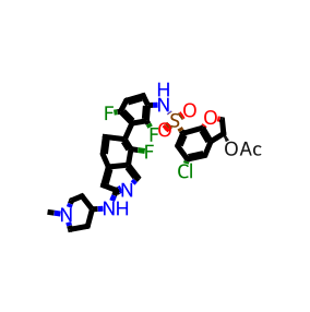 CC(=O)O[C@@H]1COc2c1cc(Cl)cc2S(=O)(=O)Nc1ccc(F)c(-c2ccc3cc(NC4CCN(C)CC4)ncc3c2F)c1F